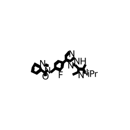 Cc1nn(C(C)C)c(C)c1-c1nc2c(-c3ccc(Cn4cnc5ccccc5c4=O)c(F)c3)ccnc2[nH]1